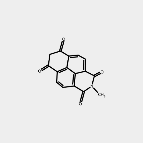 CN1C(=O)c2ccc3c4c(ccc(c24)C1=O)C(=O)CC3=O